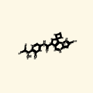 O=C(Nc1cnc([C@H](O)C(F)F)c(Cl)c1)C1CC2(CCC2)c2c1cnc1cc(F)nn21